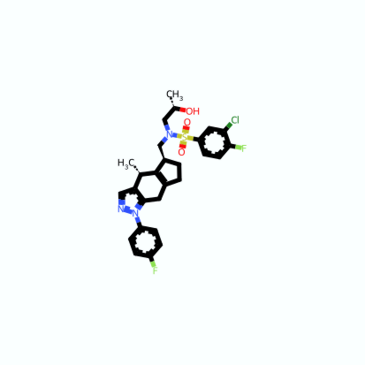 C[C@H](O)CN(C[C@H]1CCC2=C1[C@@H](C)c1cnn(-c3ccc(F)cc3)c1C2)S(=O)(=O)c1ccc(F)c(Cl)c1